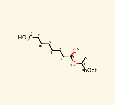 CCCCCCCCC(C)OC(=O)CCCCCCC(=O)O